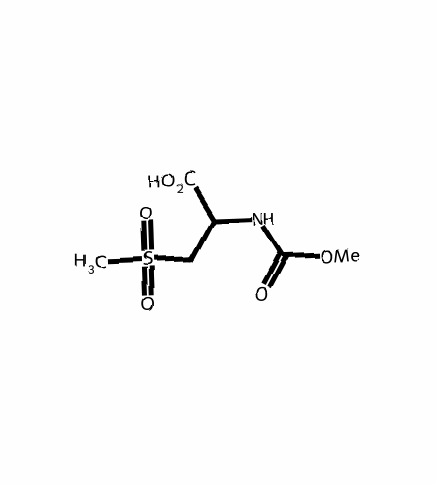 COC(=O)NC(CS(C)(=O)=O)C(=O)O